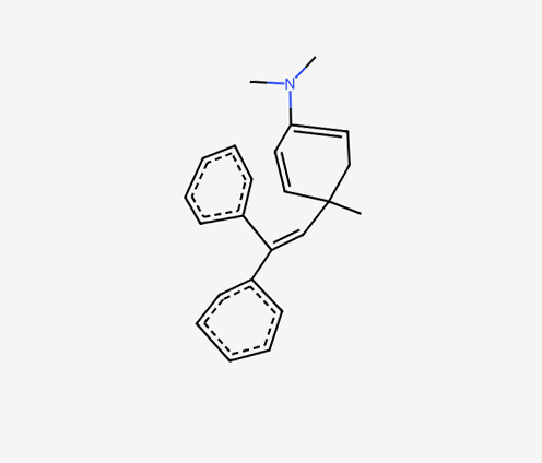 CN(C)C1=CCC(C)(C=C(c2ccccc2)c2ccccc2)C=C1